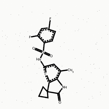 Cc1cc(NS(=O)(=O)c2ccc(F)cc2F)cc2c1NC(=O)C21CCC1